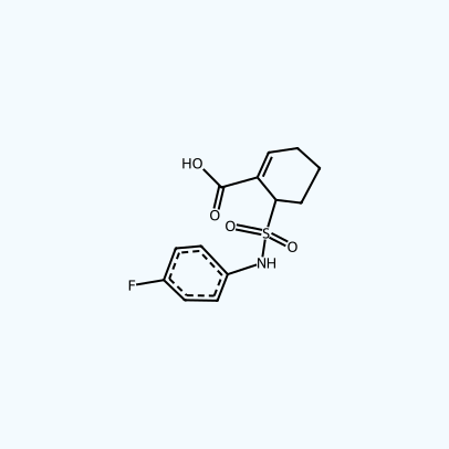 O=C(O)C1=CCCCC1S(=O)(=O)Nc1ccc(F)cc1